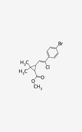 COC(=O)C1C(C=C(Cl)c2ccc(Br)cc2)C1(C)C